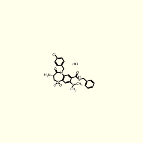 CN(C)c1cc2c(cc1C(=O)NCc1ccccc1)N(Cc1ccc(Cl)cc1)C(=O)[C@@H](N)CS2(=O)=O.Cl